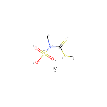 CSC(=S)N(C)S(=O)(=O)[O-].[K+]